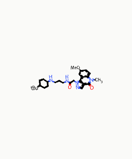 COc1ccc2c(c1)c1c(cnn1CC(=O)NCCCNC1CCC(C(C)(C)C)CC1)c(=O)n2C